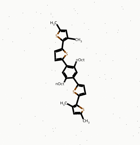 CCCCCCCCc1cc(-c2ccc(-c3sc(C)cc3C)s2)c(CCCCCCCC)cc1-c1ccc(-c2sc(C)cc2C)s1